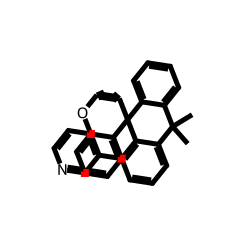 CC1(C)c2ccccc2C2(c3ccccc3Oc3ccccc32)c2c(-c3cccnc3)cccc21